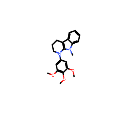 COc1cc(N2CCCc3c2n(C)c2ccccc32)cc(OC)c1OC